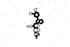 COc1ccc(CCC2(C3CCCC3)CC(O)=C(Sc3nnc(C)s3)C(=O)O2)cc1Cl